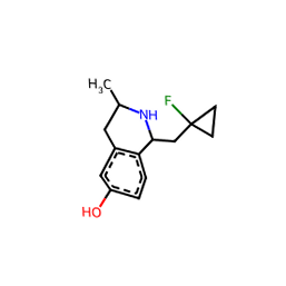 CC1Cc2cc(O)ccc2C(CC2(F)CC2)N1